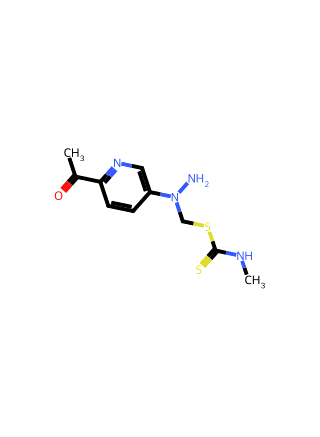 CNC(=S)SCN(N)c1ccc(C(C)=O)nc1